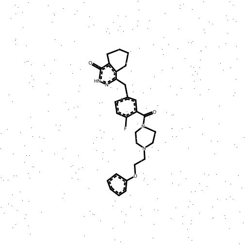 O=C(c1cc(Cc2n[nH]c(=O)c3c2CCCC3)ccc1F)N1CCN(CCOc2ccccc2)CC1